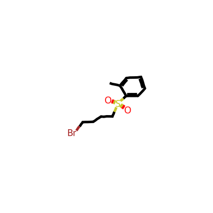 Cc1ccccc1S(=O)(=O)CCCCBr